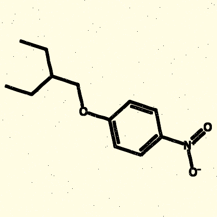 CCC(CC)COc1ccc([N+](=O)[O-])cc1